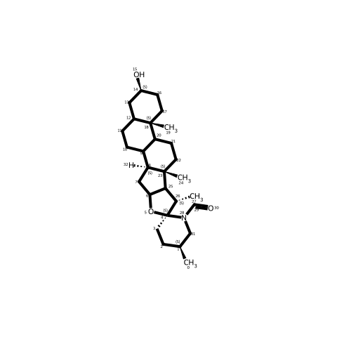 C[C@H]1CC[C@@]2(OC3C[C@H]4C5CCC6C[C@@H](O)CC[C@]6(C)C5CC[C@]4(C)C3[C@@H]2C)N(C=O)C1